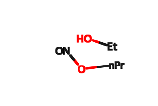 CCCON=O.CCO